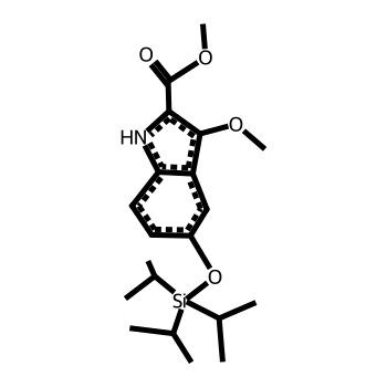 COC(=O)c1[nH]c2ccc(O[Si](C(C)C)(C(C)C)C(C)C)cc2c1OC